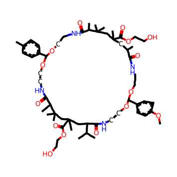 COc1ccc(C2OCCNC(=O)C(C)CC(C)(C(=O)OCCO)CC(C)(C)C(C)C(=O)NCCOC(c3ccc(C)cc3)OCCNC(=O)C(C)C(C)(C)CC(C)(C(=O)OCCO)CC(C(C)C)C(=O)NCCO2)cc1